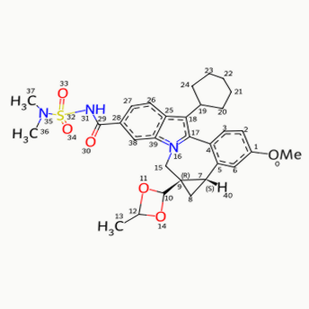 COc1ccc2c(c1)[C@@H]1C[C@]1(C1OC(C)O1)Cn1c-2c(C2CCCCC2)c2ccc(C(=O)NS(=O)(=O)N(C)C)cc21